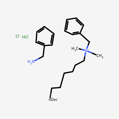 CCCCCCCCCCCCCCCC[N+](C)(C)Cc1ccccc1.Cl.NCc1ccccc1.[Cl-]